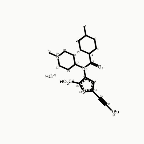 CC1CCC(C(=O)N(c2cc(C#CC(C)(C)C)sc2C(=O)O)C2CCN(C)CC2)CC1.Cl